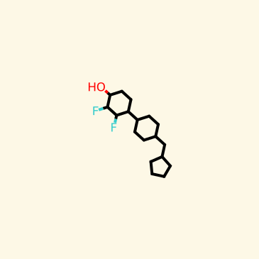 OC1CCC(C2CCC(CC3CCCC3)CC2)C(F)C1F